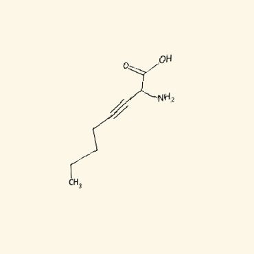 CCCCC#CC(N)C(=O)O